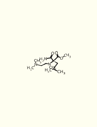 COC(=O)[C@@](CC(C)C)(C(N)=O)N(C)CCN(C)C